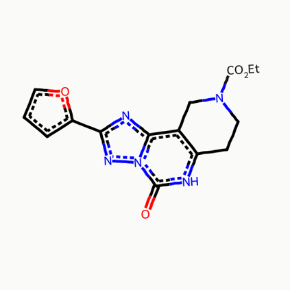 CCOC(=O)N1CCc2[nH]c(=O)n3nc(-c4ccco4)nc3c2C1